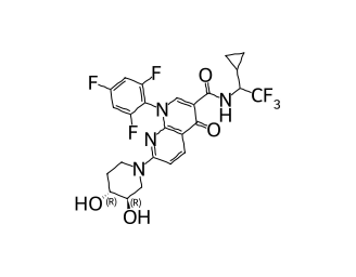 O=C(NC(C1CC1)C(F)(F)F)c1cn(-c2c(F)cc(F)cc2F)c2nc(N3CC[C@@H](O)[C@H](O)C3)ccc2c1=O